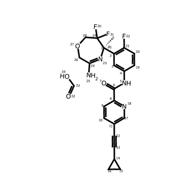 C[C@]1(c2cc(NC(=O)c3ccc(C#CC4CC4)cn3)ccc2F)N=C(N)COCC1(F)F.O=CO